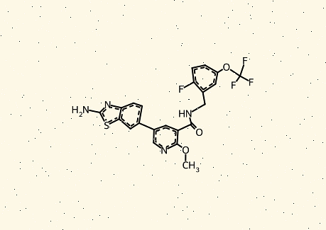 COc1ncc(-c2ccc3nc(N)sc3c2)cc1C(=O)NCc1cc(OC(F)(F)F)ccc1F